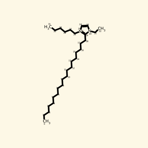 CCCCCCCCCCCCCCCCCCCc1n(CC)cc[n+]1CCCCCC